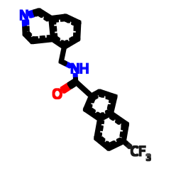 O=C(NCc1cccc2cnccc12)c1ccc2cc(C(F)(F)F)ccc2c1